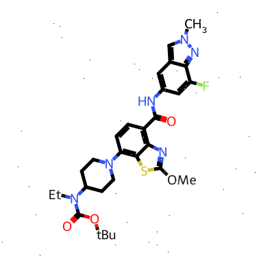 CCN(C(=O)OC(C)(C)C)C1CCN(c2ccc(C(=O)Nc3cc(F)c4nn(C)cc4c3)c3nc(OC)sc23)CC1